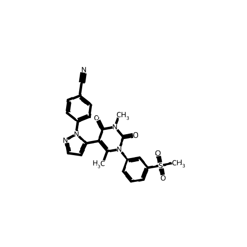 Cc1c(-c2ccnn2-c2ccc(C#N)cc2)c(=O)n(C)c(=O)n1-c1cccc(S(C)(=O)=O)c1